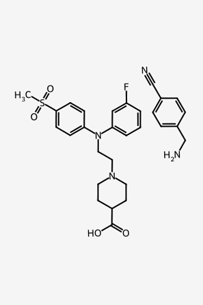 CS(=O)(=O)c1ccc(N(CCN2CCC(C(=O)O)CC2)c2cccc(F)c2)cc1.N#Cc1ccc(CN)cc1